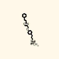 CS(=O)(=O)OCCCc1ccc(OCc2coc(/C=C/c3ccccc3)n2)cc1